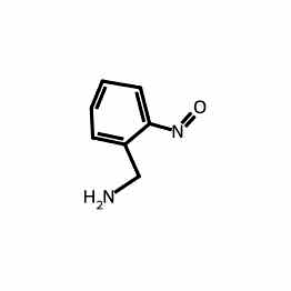 NCc1ccccc1N=O